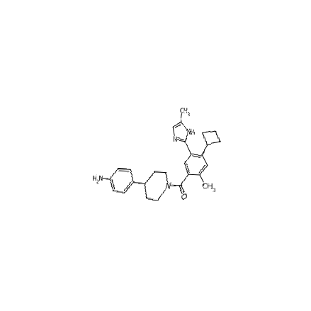 Cc1cnc(-c2cc(C(=O)N3CCC(c4ccc(N)cc4)CC3)c(C)cc2C2CCC2)[nH]1